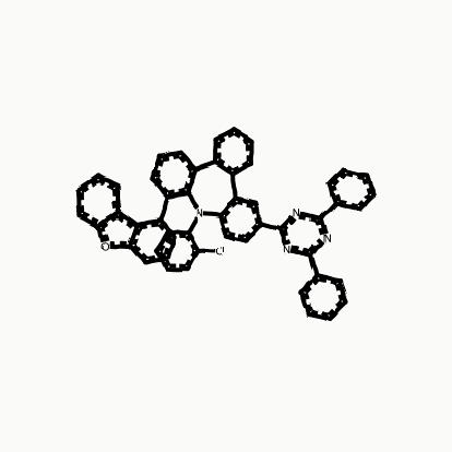 Clc1ccccc1N1c2ccc(-c3nc(-c4ccccc4)nc(-c4ccccc4)n3)cc2-c2ccccc2-c2cccc(-c3cccc4oc5ccccc5c34)c21